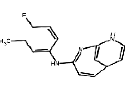 CC/C=C(\C=C/CF)NC1=NC2=CC(C=CN2)C=C1